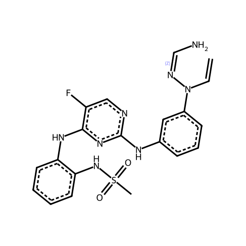 C=CN(/N=C\N)c1cccc(Nc2ncc(F)c(Nc3ccccc3NS(C)(=O)=O)n2)c1